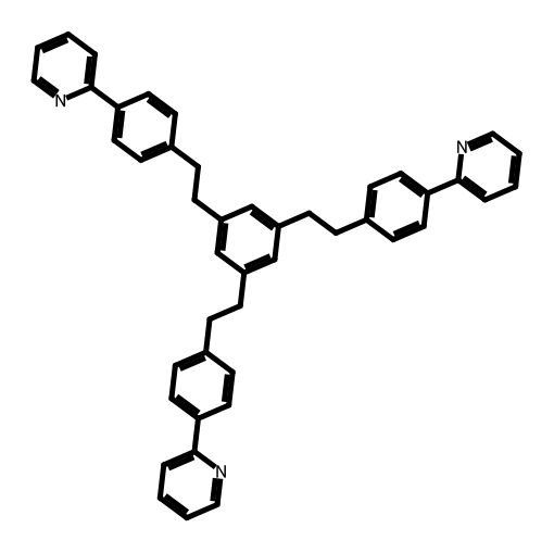 c1ccc(-c2ccc(CCc3cc(CCc4ccc(-c5ccccn5)cc4)cc(CCc4ccc(-c5ccccn5)cc4)c3)cc2)nc1